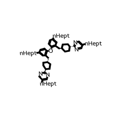 CCCCCCCc1cnc([C@H]2CC[C@H](Cc3cc(CCCCCCC)ccc3Oc3ccc(CCCCCCC)cc3C[C@H]3CC[C@H](c4ncc(CCCCCCC)cn4)CC3)CC2)nc1